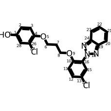 Oc1ccc(OCCCOc2ccc(Cl)cc2-n2nc3ccccc3n2)c(Cl)c1